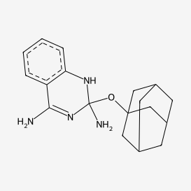 NC1=NC(N)(OC23CC4CC(CC(C4)C2)C3)Nc2ccccc21